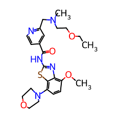 CCOCCN(C)Cc1cc(C(=O)Nc2nc3c(OC)ccc(N4CCOCC4)c3s2)ccn1